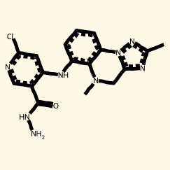 Cc1nc2n(n1)-c1cccc(Nc3cc(Cl)ncc3C(=O)NN)c1N(C)C2